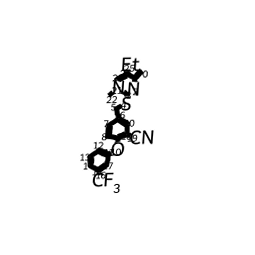 C=C1N=C(SCc2ccc(Oc3cccc(C(F)(F)F)c3)c(C#N)c2)N(C)C=C1CC